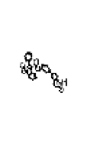 O=C1CCc2cc(-c3cccc(OC(=O)[C@@H]4C(c5ccccc5)[C@@H](C(=O)O)[C@H]4c4ccccc4)c3)ccc2N1